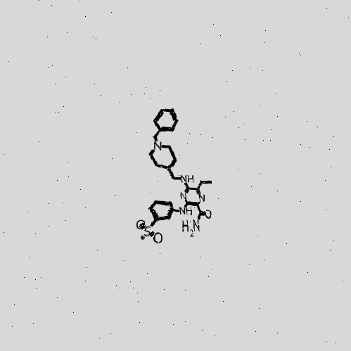 CCc1nc(C(N)=O)c(Nc2cccc(S(C)(=O)=O)c2)nc1NCC1CCN(Cc2ccccc2)CC1